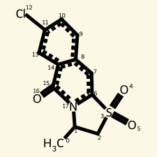 CC1CS(=O)(=O)c2cc3ccc(Cl)cc3c(=O)n21